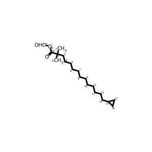 CC(C)(CCCCCCCCCCCCC1CC1)C(=O)OC=O